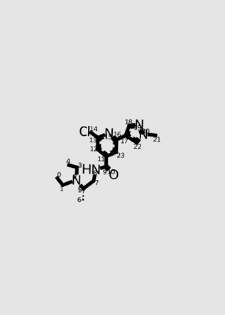 CCN(CC)[C@@H](C)CNC(=O)c1cc(Cl)nc(-c2cnn(C)c2)c1